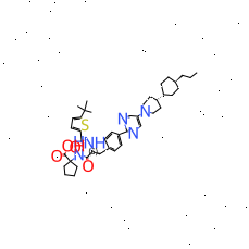 CCC[C@H]1CC[C@H](C2CCN(c3cnc(-c4ccc(C[C@H](NC(=O)c5ccc(C(C)(C)C)s5)C(=O)NC5(C(=O)O)CCCC5)cc4)nc3)CC2)CC1